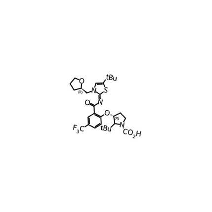 CC(C)(C)c1cn(C[C@H]2CCCO2)c(=NC(=O)c2cc(C(F)(F)F)ccc2O[C@@H]2CCN(C(=O)O)C2C(C)(C)C)s1